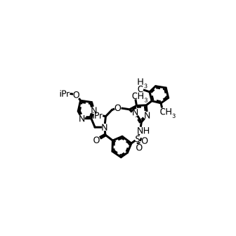 Cc1cccc(C)c1-c1nc2nc(c1C)OCC(C(C)C)N(Cc1ncc(OC(C)C)cn1)C(=O)c1cccc(c1)S(=O)(=O)N2